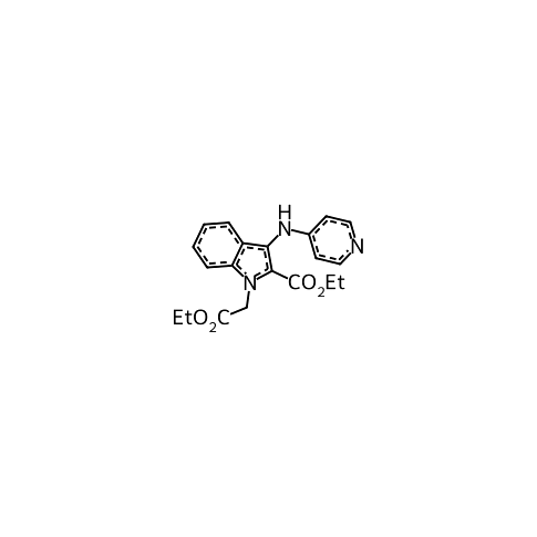 CCOC(=O)Cn1c(C(=O)OCC)c(Nc2ccncc2)c2ccccc21